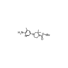 Cc1cc(N2CCN(C(=O)OC(C)(C)C)C(C)(C)C2)cnc1N